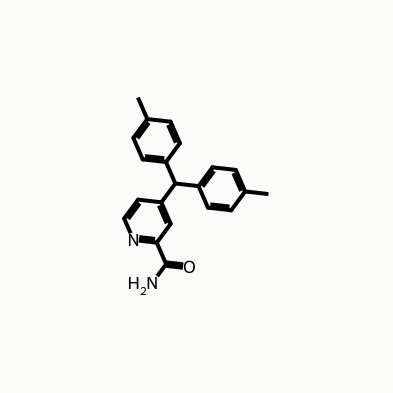 Cc1ccc(C(c2ccc(C)cc2)c2ccnc(C(N)=O)c2)cc1